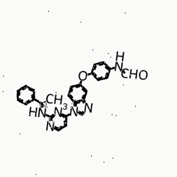 C[C@H](Nc1nccc(-n2cnc3cc(Oc4ccc(NC=O)cc4)ccc32)n1)c1ccccc1